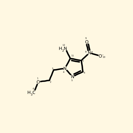 COCCn1ncc([N+](=O)[O-])c1N